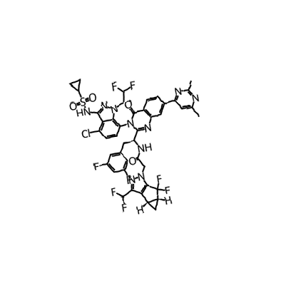 Cc1cc(-c2ccc3c(=O)n(-c4ccc(Cl)c5c(NS(=O)(=O)C6CC6)nn(CC(F)F)c45)c([C@H](Cc4cc(F)cc(F)c4)NC(=O)Cn4nc(C(F)F)c5c4C(F)(F)[C@@H]4C[C@H]54)nc3c2)nc(C)n1